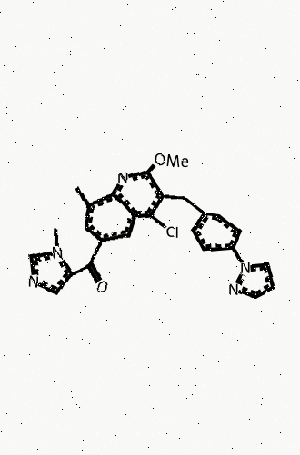 COc1nc2c(C)cc(C(=O)c3cncn3C)cc2c(Cl)c1Cc1ccc(-n2cccn2)cc1